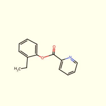 CCc1ccccc1OC(=O)c1ccccn1